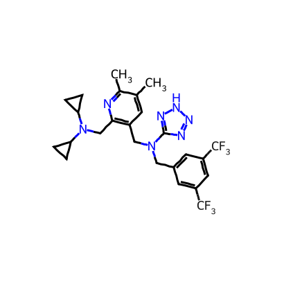 Cc1cc(CN(Cc2cc(C(F)(F)F)cc(C(F)(F)F)c2)c2nn[nH]n2)c(CN(C2CC2)C2CC2)nc1C